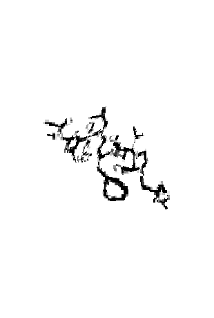 CC(=O)Nc1nc(C)c(S(=O)(=O)N(CC(C)C)C[C@@H](O)[C@H](Cc2ccccc2)NC(=O)[C@H](C(C)C)N2CCN(Cc3csc(C)n3)C2=O)s1